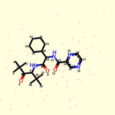 CC(C)(C)C(=O)C(NC(=O)C(NC(=O)c1cnccn1)C1CCCCC1)C(C)(C)C